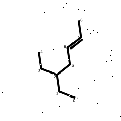 [CH2]CC(CC)CC=CC